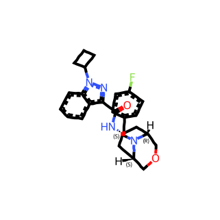 O=C(N[C@H]1C[C@H]2COC[C@@H](C1)N2Cc1ccc(F)cc1)c1nn(C2CCC2)c2ccccc12